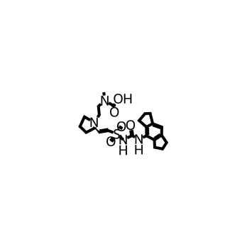 CN(CCN1CCC[C@@H]1/C=C/S(=O)(=O)NC(=O)Nc1c2c(cc3c1CCC3)CCC2)C(=O)O